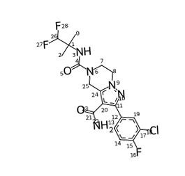 CC(C)(NC(=O)N1CCn2nc(-c3ccc(F)c(Cl)c3)c(C(N)=O)c2C1)C(F)F